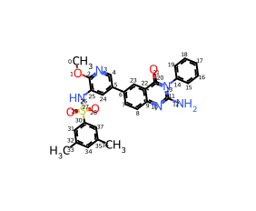 COc1ncc(-c2ccc3nc(N)n(-c4ccccc4)c(=O)c3c2)cc1NS(=O)(=O)c1cc(C)cc(C)c1